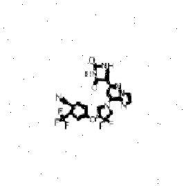 N#Cc1ccc(O[C@H]2CN(c3cc(-c4c[nH]c(=O)[nH]c4=O)nn4ccnc34)CC2(F)F)cc1C(F)(F)F